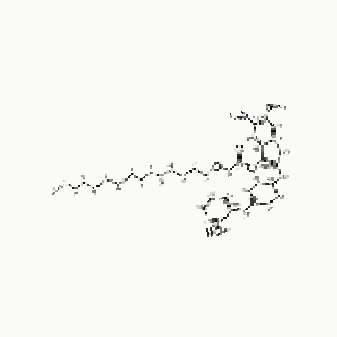 CCCCCCCCCCCCCCCOCC(=O)OC1=C(CC2CCN(Cc3ccccc3)CC2)Cc2cc(OC)c(OC)cc21.Cl